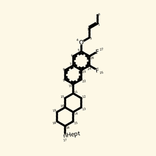 C/C=C/COc1cc2ccc(C3CCC4CC(CCCCCCC)CCC4C3)cc2c(F)c1F